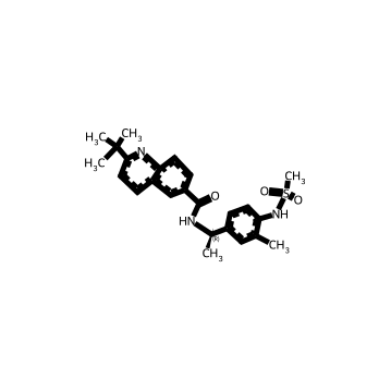 Cc1cc([C@@H](C)NC(=O)c2ccc3nc(C(C)(C)C)ccc3c2)ccc1NS(C)(=O)=O